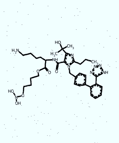 CCCc1nc(C(C)(C)O)c(C(=O)NC(CCCCN)C(=O)OCCCCON(O)O)n1Cc1ccc(-c2ccccc2-c2nnn[nH]2)cc1